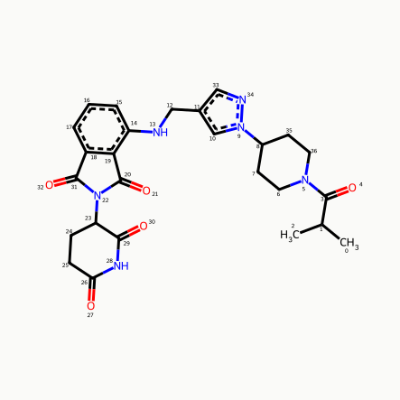 CC(C)C(=O)N1CCC(n2cc(CNc3cccc4c3C(=O)N(C3CCC(=O)NC3=O)C4=O)cn2)CC1